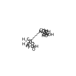 CCc1c(C)c2c3c(C(F)(F)F)cc(=O)[nH]c3ccc2n1CCCCCCCCCN(C)C[C@@H](O)[C@@H](O)[C@H](O)[C@H](O)CO